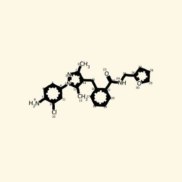 Cc1nn(-c2ccc(N)c(Cl)c2)c(C)c1Cc1ccccc1C(=O)NCc1ccco1